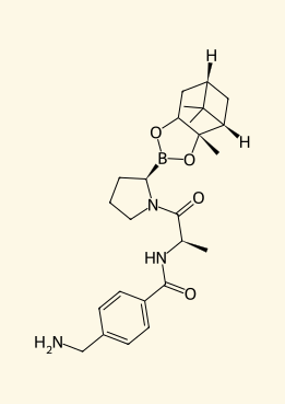 C[C@@H](NC(=O)c1ccc(CN)cc1)C(=O)N1CCC[C@H]1B1OC2C[C@@H]3C[C@@H](C3(C)C)[C@]2(C)O1